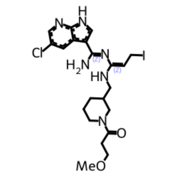 COCCC(=O)N1CCCC(CNC(=C/CI)/N=C(\N)c2c[nH]c3ncc(Cl)cc23)C1